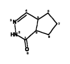 O=C1NN=CC2CCCC12